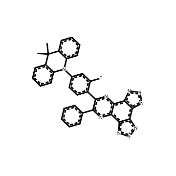 CC1(C)c2ccccc2N(c2ccc(-c3nc4c5nsnc5c5nsnc5c4nc3-c3ccccc3)c(F)c2)c2ccccc21